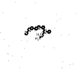 C=C/C=C\C(=C)c1cc(-c2cccc(-c3ccc4cc(-c5ccc6c(c5)N=C(C5=NC=CCC5)CC6)ccc4n3)c2)nc(-c2ccccc2)n1